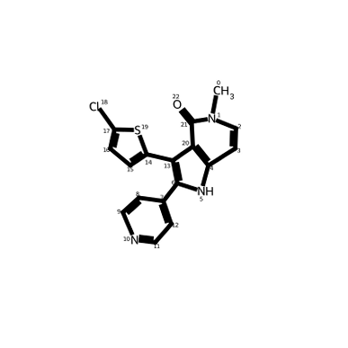 Cn1ccc2[nH]c(-c3ccncc3)c(-c3ccc(Cl)s3)c2c1=O